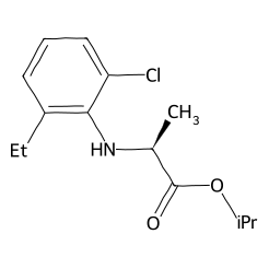 CCc1cccc(Cl)c1N[C@@H](C)C(=O)OC(C)C